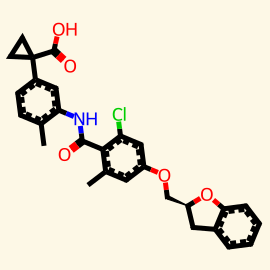 Cc1ccc(C2(C(=O)O)CC2)cc1NC(=O)c1c(C)cc(OC[C@@H]2Cc3ccccc3O2)cc1Cl